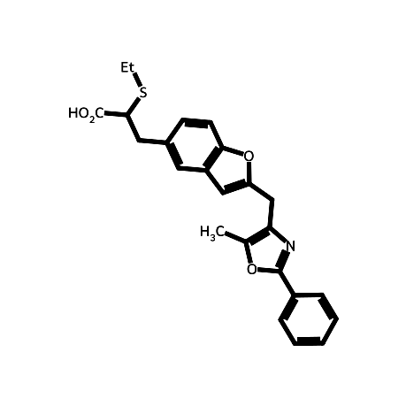 CCSC(Cc1ccc2oc(Cc3nc(-c4ccccc4)oc3C)cc2c1)C(=O)O